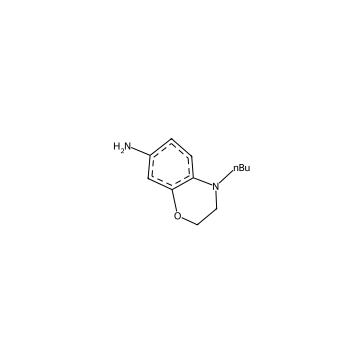 CCCCN1CCOc2cc(N)ccc21